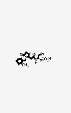 Cc1ccccc1CN1C(=O)CCC1CC(=O)N[C@H](CC(=O)O)CC(C)C